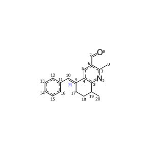 Cc1nc2c(cc1C=O)/C(=C/c1ccccc1)CCC2C